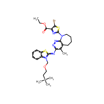 CCOC(=O)c1nc(N2CCCCc3c2nnc(/N=c2\sc4ccccc4n2COCC[Si](C)(C)C)c3C)sc1Br